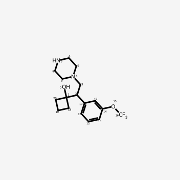 OC1(C(CN2CCNCC2)c2cccc(OC(F)(F)F)c2)CCC1